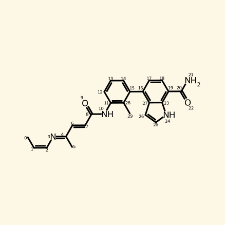 C\C=C/N=C(C)/C=C/C(=O)Nc1cccc(-c2ccc(C(N)=O)c3[nH]ccc23)c1C